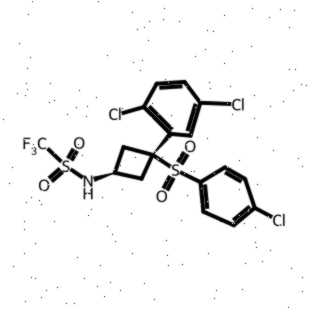 O=S(=O)(N[C@H]1C[C@](c2cc(Cl)ccc2Cl)(S(=O)(=O)c2ccc(Cl)cc2)C1)C(F)(F)F